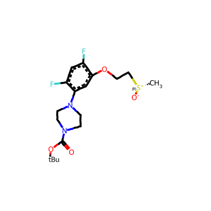 C[S@+]([O-])CCOc1cc(N2CCN(C(=O)OC(C)(C)C)CC2)c(F)cc1F